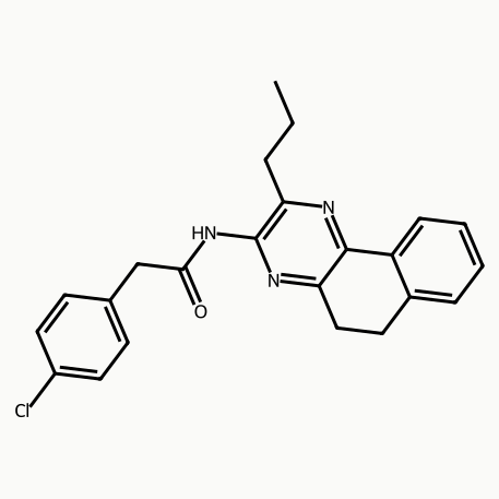 CCCc1nc2c(nc1NC(=O)Cc1ccc(Cl)cc1)CCc1ccccc1-2